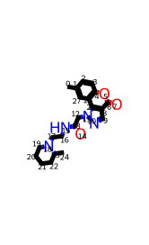 Cc1ccc2oc(=O)c3cnn(CC(=O)NCCN4CCCCC4C)c3c2c1